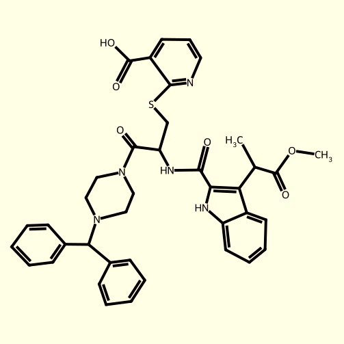 COC(=O)C(C)c1c(C(=O)NC(CSc2ncccc2C(=O)O)C(=O)N2CCN(C(c3ccccc3)c3ccccc3)CC2)[nH]c2ccccc12